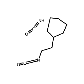 N=C=O.O=C=NCCC1CCCCC1